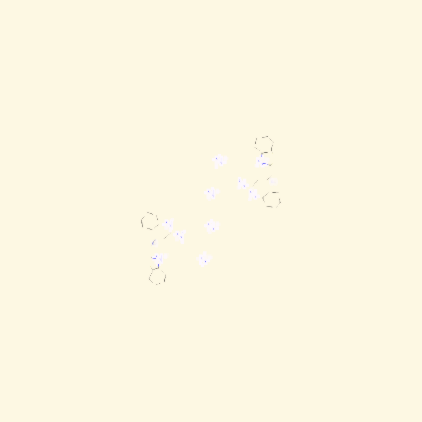 C[n+]1c(/C=C2\C=C(N(CCC[N+](C)(C)C)CCC[N+](C)(C)C)N(CCCCCCCCCCN3C(N(CCC[N+](C)(C)C)CCC[N+](C)(C)C)=C/C(=C\c4sc5ccccc5[n+]4C)c4ccccc43)c3ccccc32)sc2ccccc21